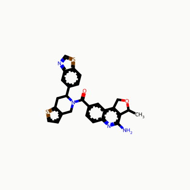 CC1OCc2c1c(N)nc1ccc(C(=O)N3Cc4ccsc4CC3c3ccc4scnc4c3)cc21